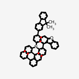 CC1(C)c2ccccc2-c2ccc(-c3ccc(N(c4ccccc4-c4cccc5cccc(-c6ccccc6)c45)c4ccccc4-c4cccc5oc6ccccc6c45)cc3)cc21